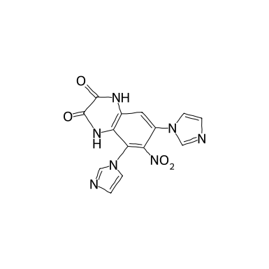 O=c1[nH]c2cc(-n3ccnc3)c([N+](=O)[O-])c(-n3ccnc3)c2[nH]c1=O